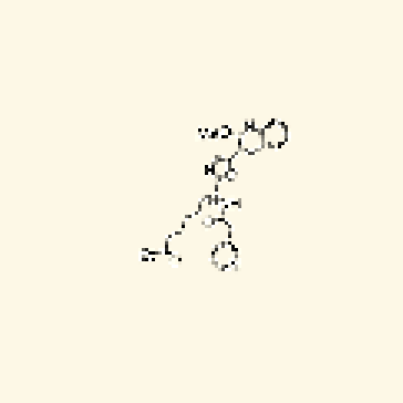 CCC(=O)CCCCC[C@H](NC(=O)Cc1cccnc1)c1ncc(-c2cc3ccccc3nc2OC)o1